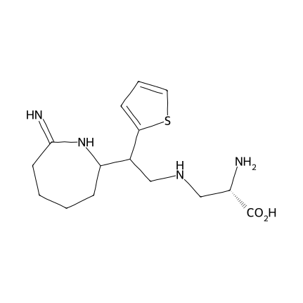 N=C1CCCCC(C(CNC[C@H](N)C(=O)O)c2cccs2)N1